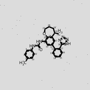 Cc1ccc(NC(=O)Nc2cc(-c3ccccc3-c3nnn[nH]3)cc3c2OCCCC3C)cc1